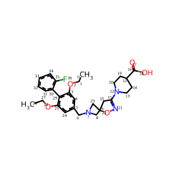 CCOc1cc(CN2CC3(CC(N4CCC(C(=O)O)CC4)=NO3)C2)cc(OCC)c1-c1ccccc1F